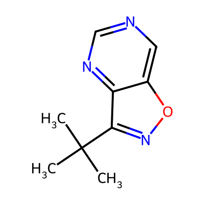 CC(C)(C)c1noc2cncnc12